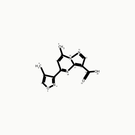 Cc1conc1-c1cc(C)n2ncc(C(=O)O)c2n1